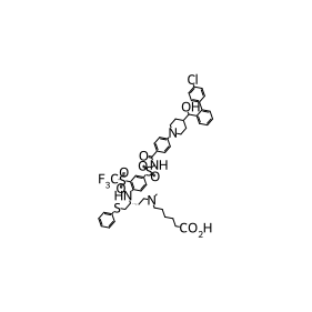 CN(CCCCCC(=O)O)CC[C@H](CSc1ccccc1)Nc1ccc(S(=O)(=O)NC(=O)c2ccc(N3CCC([C@@H](O)c4ccccc4-c4ccc(Cl)cc4)CC3)cc2)cc1S(=O)(=O)C(F)(F)F